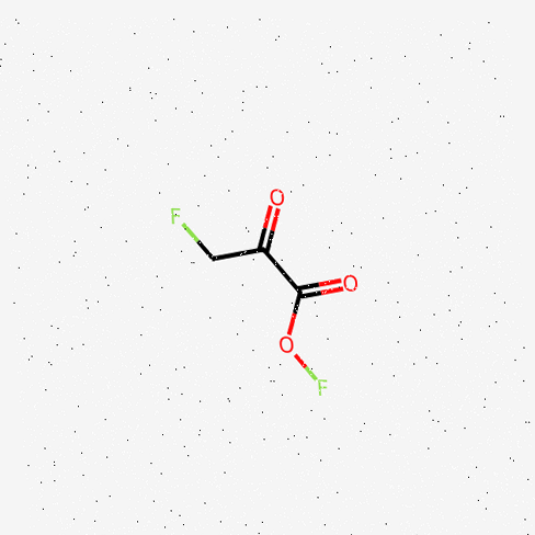 O=C(CF)C(=O)OF